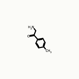 Cc1ccc(C(=O)CN)cc1